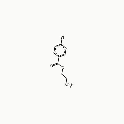 O=C(OCCS(=O)(=O)O)c1ccc(Cl)cc1